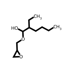 CCCCC(CC)C(O)OCC1CO1